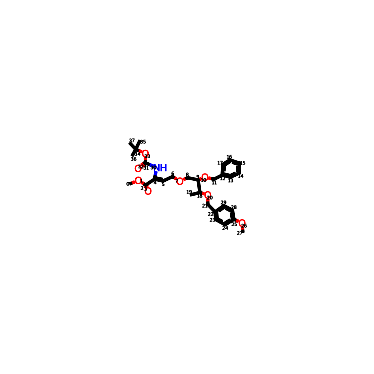 COC(=O)/C(=C/COCC(OCc1ccccc1)C(C)OCc1ccc(OC)cc1)NC(=O)OC(C)(C)C